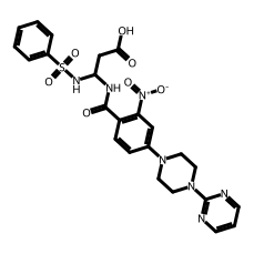 O=C(O)CC(NC(=O)c1ccc(N2CCN(c3ncccn3)CC2)cc1[N+](=O)[O-])NS(=O)(=O)c1ccccc1